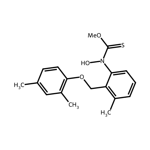 COC(=S)N(O)c1cccc(C)c1COc1ccc(C)cc1C